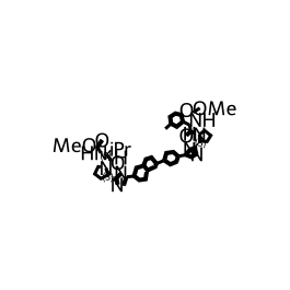 COC(=O)NC(C(=O)N1CCC[C@H]1c1ncc(-c2ccc(-c3ccc4cc(-c5cnc([C@@H]6CCCN6C(=O)[C@@H](NC(=O)OC)C(C)C)[nH]5)ccc4c3)cc2)[nH]1)c1cccc(C)c1